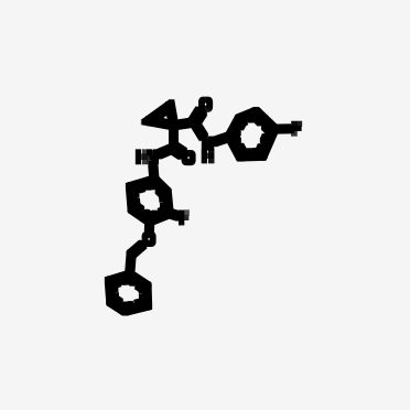 O=C(Nc1ccc(F)cc1)C1(C(=O)Nc2ccc(OCc3ccccc3)c(F)c2)CC1